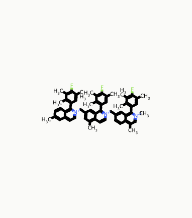 Cc1ccc2c(-c3cc(C)c(F)c(C)c3C)[n+](Cc3cc(C)c4cc[n+](Cc5ccc6c(C)c[n+](C)c(-c7cc(C)c(F)c(C)c7C)c6c5)c(-c5cc(C)c(F)c(C)c5C)c4c3)ccc2c1